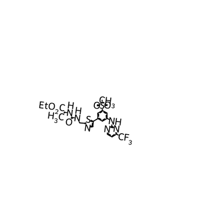 CCOC(=O)[C@H](C)NC(=O)NCc1ncc(-c2cc(Nc3nccc(C(F)(F)F)n3)cc(S(C)(=O)=O)c2)s1